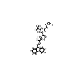 CSCCC[C@@H](NC(=O)C(=O)O)C(=O)NNC(=O)OCC1c2ccccc2-c2ccccc21